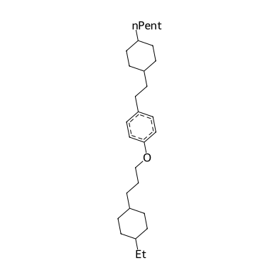 CCCCCC1CCC(CCc2ccc(OCCCC3CCC(CC)CC3)cc2)CC1